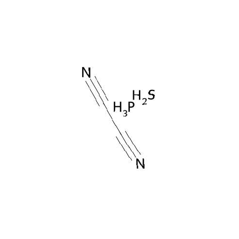 N#CC#N.P.S